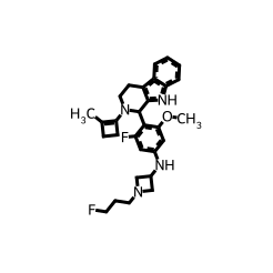 COc1cc(NC2CN(CCCF)C2)cc(F)c1C1c2[nH]c3ccccc3c2CCN1C1=C(C)CC1